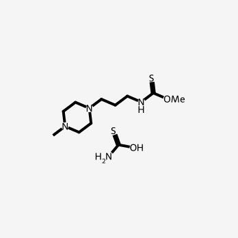 COC(=S)NCCCN1CCN(C)CC1.NC(O)=S